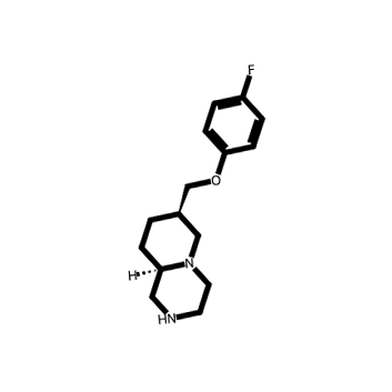 Fc1ccc(OC[C@@H]2CC[C@@H]3CNCCN3C2)cc1